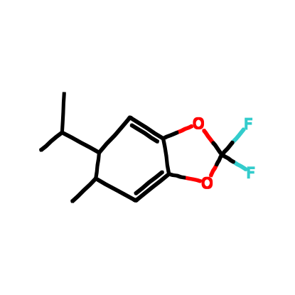 CC(C)C1C=C2OC(F)(F)OC2=CC1C